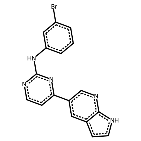 Brc1cccc(Nc2nccc(-c3cnc4[nH]ccc4c3)n2)c1